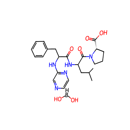 CC(C)CC(NC(=O)C(Cc1ccccc1)Nc1cnccn1)C(=O)N1CCC[C@H]1C(=O)O.OBO